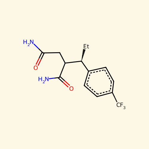 CC[C@@H](c1ccc(C(F)(F)F)cc1)C(CC(N)=O)C(N)=O